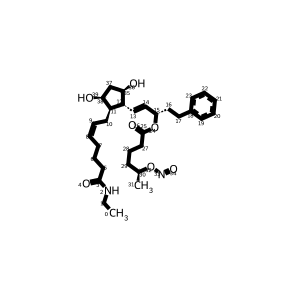 CCNC(=O)CCC/C=C\C[C@@H]1[C@@H](/C=C/[C@H](CCc2ccccc2)OC(=O)CCC[C@H](C)ON=O)[C@H](O)C[C@@H]1O